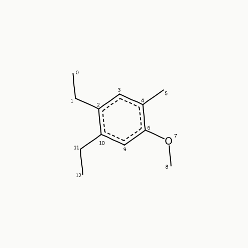 CCc1cc(C)c(OC)cc1CC